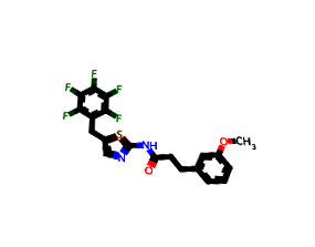 COc1cccc(CCC(=O)Nc2ncc(Cc3c(F)c(F)c(F)c(F)c3F)s2)c1